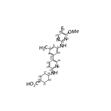 COc1nc(Nc2cc(C)cc(-c3ccc(NC4CCC(C(=O)O)CC4)nc3)c2)ncc1F